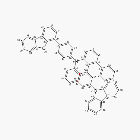 c1ccc(-c2cccc(N(c3ccccc3)c3ccc(-c4cccc5c4oc4ccncc45)cc3)c2-c2cccc(-n3c4ccccc4c4ccccc43)c2)cc1